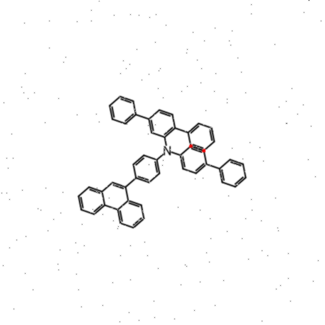 c1ccc(-c2ccc(N(c3ccc(-c4cc5ccccc5c5ccccc45)cc3)c3cc(-c4ccccc4)ccc3-c3ccccc3)cc2)cc1